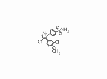 COc1ccc(-c2c(Cl)cnn2-c2ccc(S(N)(=O)=O)cc2)cc1Cl